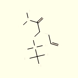 CN(C)C(=O)[C@H](CC=O)O[Si](C)(C)C(C)(C)C